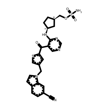 N#Cc1ccc2ccn(Cc3csc(C(=O)c4cncnc4N[C@H]4CC[C@@H](COS(N)(=O)=O)C4)c3)c2c1